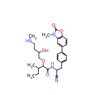 CCC(C)C(OCC(O)CCNC)C(=O)NC(C#N)Cc1ccc(-c2ccc3oc(=O)n(C)c3c2)cc1